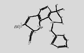 CCOC(=O)C1=Cc2ccc3c(c2NC1=C=O)N(Cc1ccccc1)CCC3(C)C